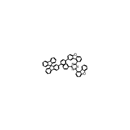 c1ccc(-c2nc(-c3cccc4oc5ccccc5c34)nc(-c3cccc4oc5ccc(-c6ccc(-c7ccc8c(c7)C7(c9ccccc9-c9ccccc97)c7ccccc7-8)cc6)cc5c34)n2)cc1